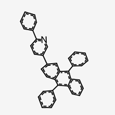 c1ccc(-c2ccc(-c3ccc4c(-c5ccccc5)c5ccccc5c(-c5ccccc5)c4c3)cn2)cc1